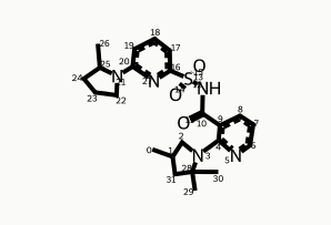 CC1CN(c2ncccc2C(=O)NS(=O)(=O)c2cccc(N3CCCC3C)n2)C(C)(C)C1